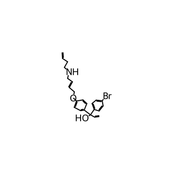 C=CCCNCC=CCOc1ccc(C(O)(C=C)c2ccc(Br)cc2)cc1